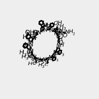 CCCC[C@H]1C(=O)N2CSC[C@@H]2C(=O)N[C@@H](CC(=O)O)C(=O)N[C@@H](C)C(=O)N(C)[C@@H](Cc2ccccc2)C(=O)N[C@@H](Cc2ccc(O)cc2)C(=O)N(C)CC(=O)N[C@@H](Cc2c[nH]c3ccccc23)C(=O)N[C@@H](Cc2ccc(O)cc2)C(=O)N[C@@H](CC(C)C)C(=O)N[C@H](C(=O)NCC(N)=O)CSCC(=O)N[C@@H](Cc2ccccc2)C(=O)N(C)[C@@H](Cc2ccccc2)C(=O)N1C